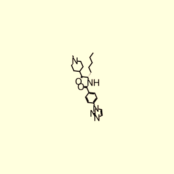 CCCCC[C@H](NC(=O)c1ccc(-n2ccnn2)cc1)C(=O)C1CCN(C)CC1